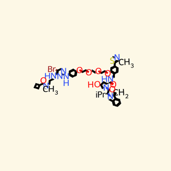 C=C1c2ccccc2CN1[C@H](C(=O)N1C[C@H](O)C[C@H]1C(=O)NCc1ccc(-c2scnc2C)cc1OCCOCCOCCOc1ccc(Nc2ncc(Br)c(NCCCN(C)C(=O)C3CCC3)n2)cc1)C(C)C